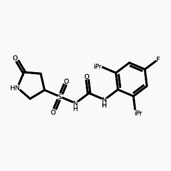 CC(C)c1cc(F)cc(C(C)C)c1NC(=O)NS(=O)(=O)C1CNC(=O)C1